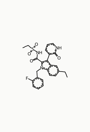 CCc1ccc2c(c1)c(-c1ccc[nH]c1=O)c(C(=O)NS(=O)(=O)CC)n2Cc1ccccc1F